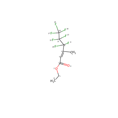 CCOC(=O)/C=C(\C)C(F)(F)C(F)(F)C(F)(F)F